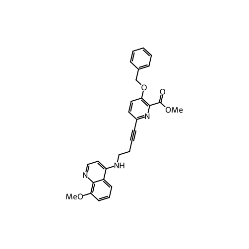 COC(=O)c1nc(C#CCCNc2ccnc3c(OC)cccc23)ccc1OCc1ccccc1